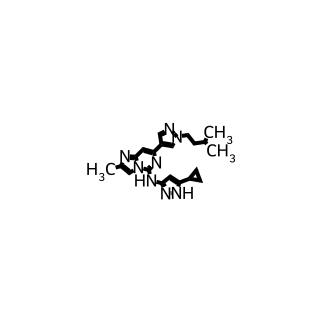 Cc1cn2c(Nc3cc(C4CC4)[nH]n3)nc(-c3cnn(CCC(C)C)c3)cc2n1